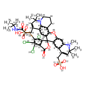 CN1c2cc3c(cc2C(CS(=O)(=O)O)=CC1(C)C)C1(OC(=O)c2c(Cl)c(Cl)c(SCC(=O)NC(C)(C)C)c(Cl)c21)c1cc2c4c(c1O3)CCCN4C(C)(C)C=C2CS(=O)(=O)O